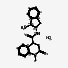 CN1C(=O)CC(C(=O)N[C@H]2Cc3ccccc3[C@@H]2N)c2ccccc21.Cl